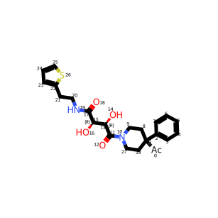 CC(=O)C1(c2ccccc2)CCN(C(=O)[C@H](O)[C@@H](O)C(=O)NCCc2cccs2)CC1